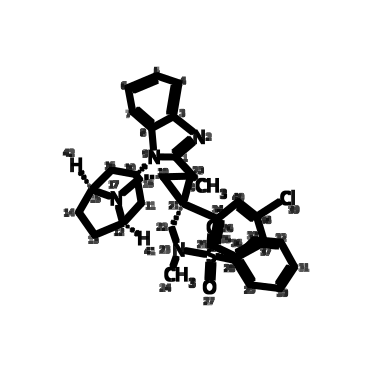 Cc1nc2ccccc2n1[C@@H]1C[C@H]2CC[C@@H](C1)N2C[C@@H]1C[C@@]1(CN(C)S(=O)(=O)c1ccccc1)c1cccc(Cl)c1